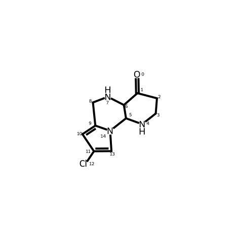 O=C1CCNC2C1NCc1cc(Cl)cn12